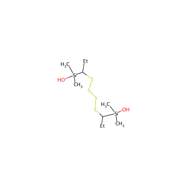 CCC(SSSSC(CC)[Si](C)(C)O)[Si](C)(C)O